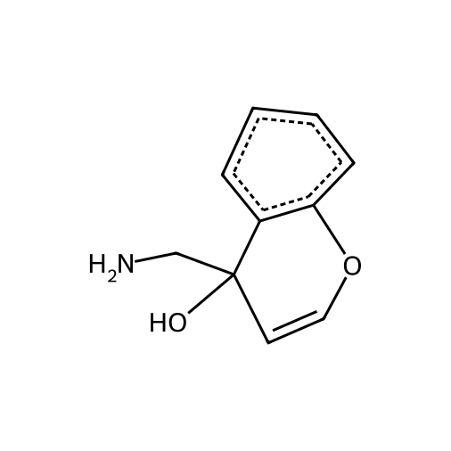 NCC1(O)C=COc2ccccc21